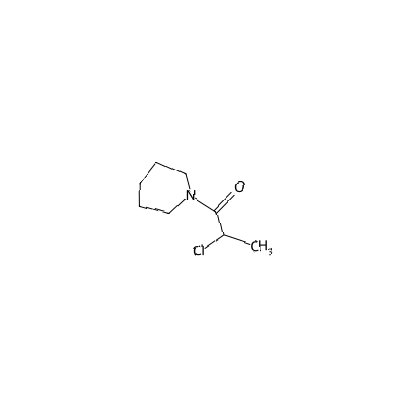 CC(Cl)C(=O)N1CCCCC1